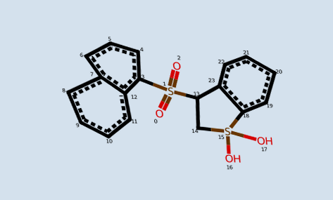 O=S(=O)(c1cccc2ccccc12)C1CS(O)(O)c2ccccc21